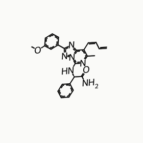 C=C/C=C\c1c(C)nc(N[C@@H](C(N)=O)c2ccccc2)n2nc(-c3cccc(OC)c3)nc12